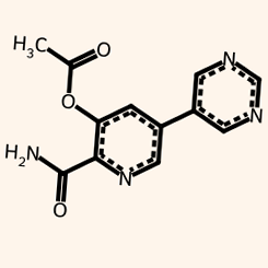 CC(=O)Oc1cc(-c2cncnc2)cnc1C(N)=O